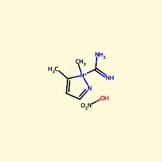 CC1=CC=N[N+]1(C)C(=N)N.O=[N+]([O-])O